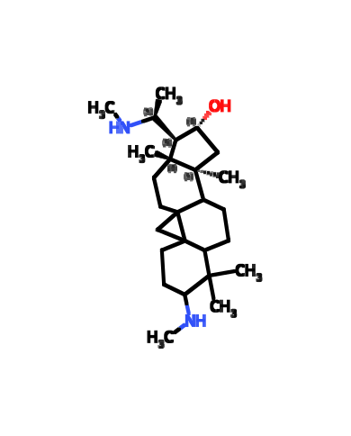 CNC1CCC23CC24CC[C@]2(C)[C@@H]([C@H](C)NC)[C@H](O)C[C@@]2(C)C4CCC3C1(C)C